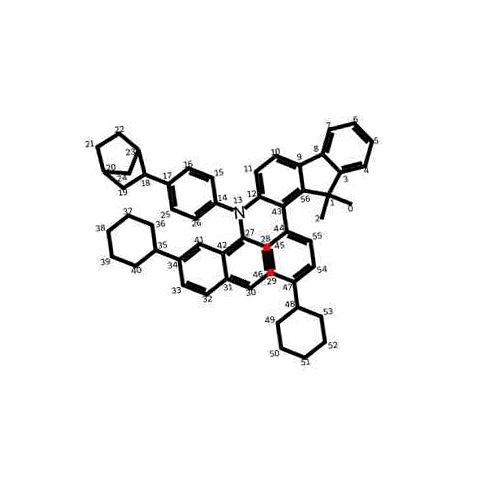 CC1(C)c2ccccc2-c2ccc(N(c3ccc(C4CC5CCC4C5)cc3)c3cccc4ccc(C5CCCCC5)cc34)c(-c3ccc(C4CCCCC4)cc3)c21